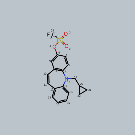 O=S(=O)(Oc1ccc2c(c1)C=Cc1ccccc1N2CC1CC1)C(F)(F)F